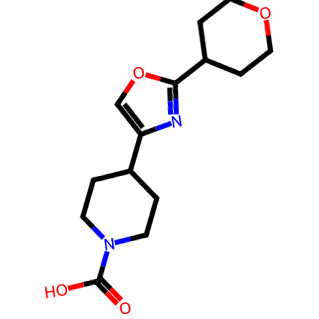 O=C(O)N1CCC(c2coc(C3CCOCC3)n2)CC1